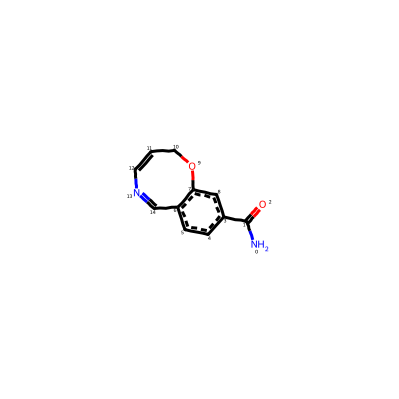 NC(=O)c1ccc2c(c1)OCC=CN=C2